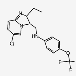 CCC1N=C2C=CC(Cl)=CN2C1CNc1ccc(OC(F)(F)F)cc1